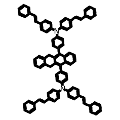 C(=Cc1ccc(N(c2ccc(C=Cc3ccccc3)cc2)c2ccc(-c3c4c(c(-c5ccc(N(c6ccc(C=Cc7ccccc7)cc6)c6ccc(C=Cc7ccccc7)cc6)cc5)c5ccccc35)Cc3ccccc3C4)cc2)cc1)c1ccccc1